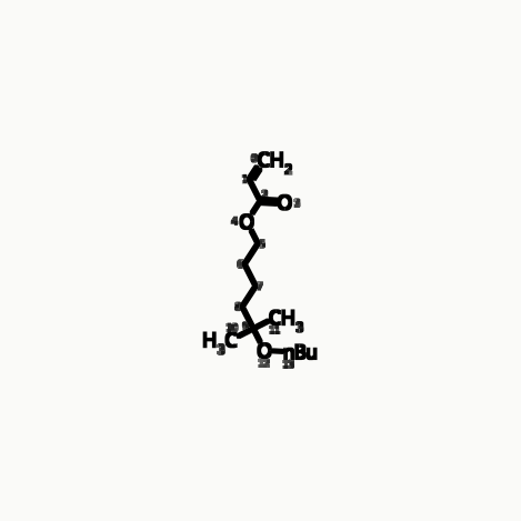 C=CC(=O)OCCCCC(C)(C)OCCCC